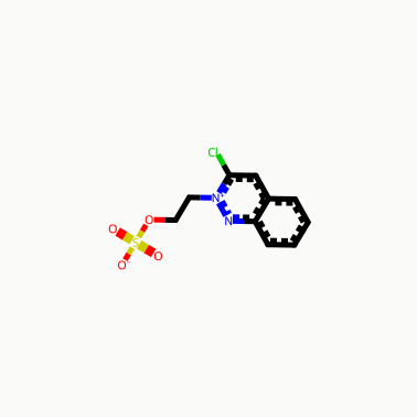 O=S(=O)([O-])OCC[n+]1nc2ccccc2cc1Cl